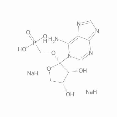 Nc1c2ncnc-2ncn1[C@]1(OCP(=O)(O)O)OC[C@@H](O)[C@H]1O.[NaH].[NaH]